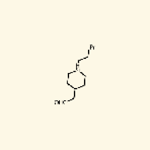 CC(C)CC[SiH]1CCC(CC=O)CC1